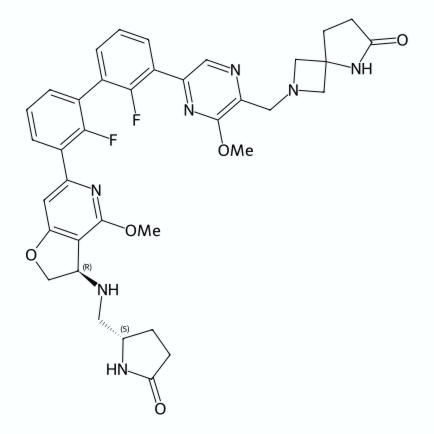 COc1nc(-c2cccc(-c3cccc(-c4cc5c(c(OC)n4)[C@@H](NC[C@@H]4CCC(=O)N4)CO5)c3F)c2F)cnc1CN1CC2(CCC(=O)N2)C1